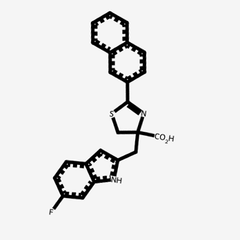 O=C(O)C1(Cc2cc3ccc(F)cc3[nH]2)CSC(c2ccc3ccccc3c2)=N1